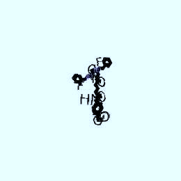 O=C(CCCC(=O)N1C/C(=C\Cc2ccccc2F)C(=O)/C(=C/Cc2ccccc2F)C1)NC1=CCC(=S(=O)=O)C=C1